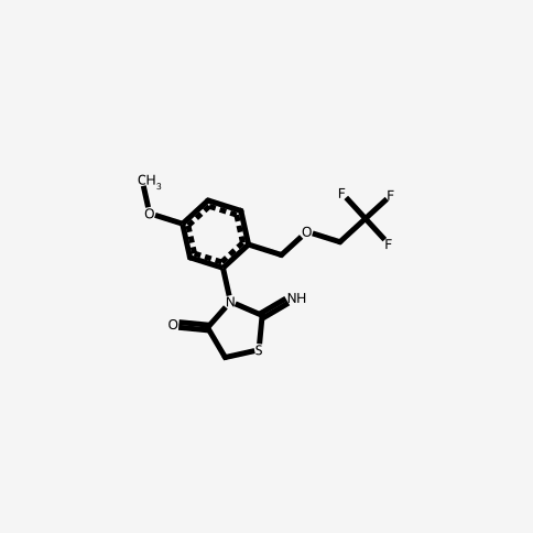 COc1ccc(COCC(F)(F)F)c(N2C(=N)SCC2=O)c1